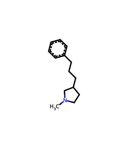 CN1CCC(CCCc2ccccc2)C1